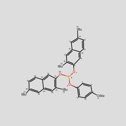 COc1ccc(OP(Oc2cc3ccc(C(C)(C)C)cc3cc2C(C)(C)C)Oc2cc3ccc(C(C)(C)C)cc3cc2C(C)(C)C)cc1